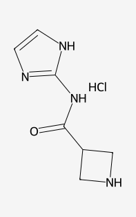 Cl.O=C(Nc1ncc[nH]1)C1CNC1